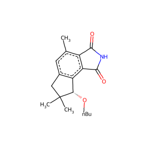 CCCCO[C@H]1c2c(cc(C)c3c2C(=O)NC3=O)CC1(C)C